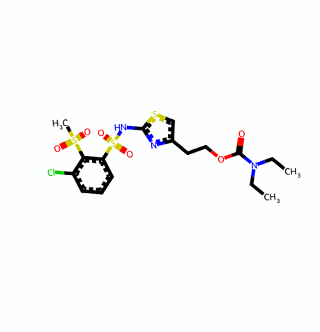 CCN(CC)C(=O)OCCc1csc(NS(=O)(=O)c2cccc(Cl)c2S(C)(=O)=O)n1